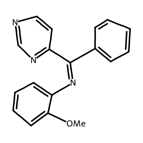 COc1ccccc1N=C(c1ccccc1)c1ccncn1